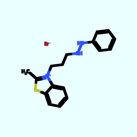 Cc1sc2ccccc2[n+]1CCCNNc1ccccc1.[Br-]